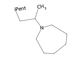 CCCC(C)CC(C)N1CCCCCC1